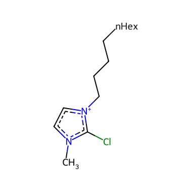 CCCCCCCCCC[n+]1ccn(C)c1Cl